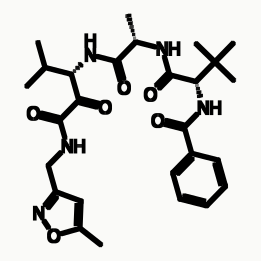 Cc1cc(CNC(=O)C(=O)[C@@H](NC(=O)[C@H](C)NC(=O)[C@@H](NC(=O)c2ccccc2)C(C)(C)C)C(C)C)no1